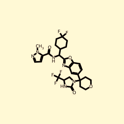 Cn1nccc1C(=O)NC(c1nc2cc(C3(N4CC(C(F)(F)F)NC4=O)CCOCC3)ccc2o1)C1CCC(F)(F)CC1